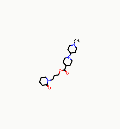 CN1CCC(N2CCC(C(=O)OCCCN3CCCCC3=O)CC2)CC1